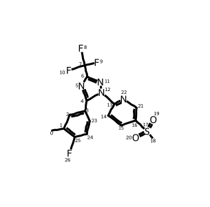 Cc1cc(-c2nc(C(F)(F)F)nn2-c2ccc(S(C)(=O)=O)cn2)ccc1F